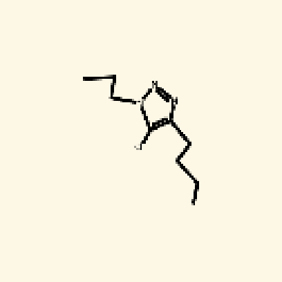 CCCCc1nnn(CCC)c1Cl